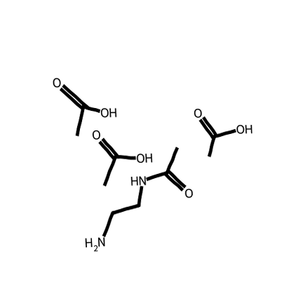 CC(=O)NCCN.CC(=O)O.CC(=O)O.CC(=O)O